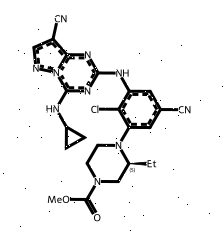 CC[C@H]1CN(C(=O)OC)CCN1c1cc(C#N)cc(Nc2nc(NC3CC3)n3ncc(C#N)c3n2)c1Cl